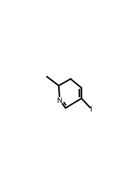 CC1CC=C(I)C=N1